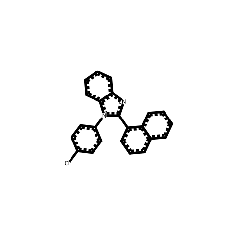 Clc1ccc(-n2c(-c3cccc4ccccc34)nc3ccccc32)cc1